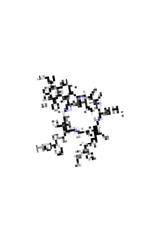 C=CC1=C(/C)C(=C)/C=C2\N/C(=C\C3=NC(=C\c4[nH]c(c(C)c4CCC(=O)OC)\C=C\1N)/C(CCC(=O)O)=C3C)C1(C)C2=CC=C(C(=O)OC)C1C(=O)OC